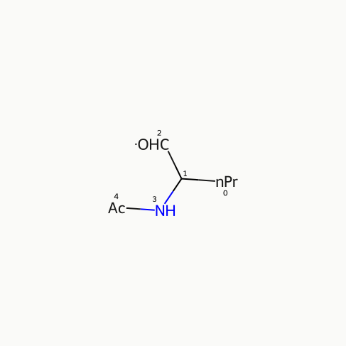 CCCC([C]=O)NC(C)=O